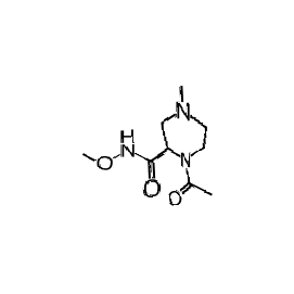 CONC(=O)C1CN(C)CCN1C(C)=O